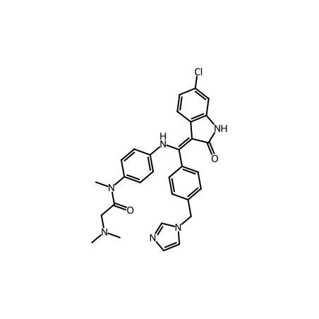 CN(C)CC(=O)N(C)c1ccc(NC(=C2C(=O)Nc3cc(Cl)ccc32)c2ccc(Cn3ccnc3)cc2)cc1